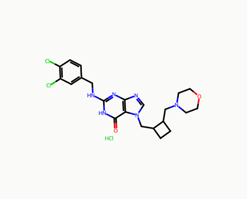 Cl.O=c1[nH]c(NCc2ccc(Cl)c(Cl)c2)nc2ncn(CC3CCC3CN3CCOCC3)c12